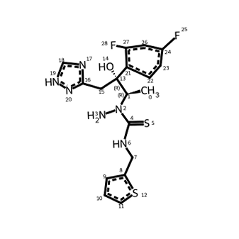 C[C@@H](N(N)C(=S)NCc1cccs1)[C@@](O)(Cc1nc[nH]n1)c1ccc(F)cc1F